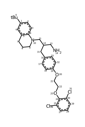 CC(C)(C)c1ccc2c(c1)CCCN2CC(CN)Cc1ccc(OCCOc2c(Cl)cccc2Cl)cc1